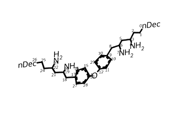 CCCCCCCCCCCCC(N)CC(N)Cc1ccc(Oc2ccc(CC(N)CC(N)CCCCCCCCCCCC)cc2)cc1